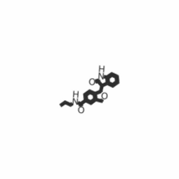 CCCNC(=O)c1ccc2c(c1)COC2C1C(=O)Nc2ccccc21